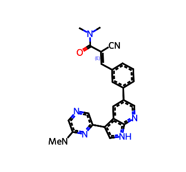 CNc1cncc(-c2c[nH]c3ncc(-c4cccc(/C=C(\C#N)C(=O)N(C)C)c4)cc23)n1